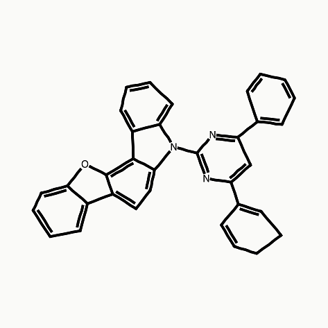 C1=CC(c2cc(-c3ccccc3)nc(-n3c4ccccc4c4c5oc6ccccc6c5ccc43)n2)=CCC1